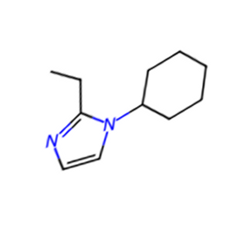 CCc1nccn1C1CCCCC1